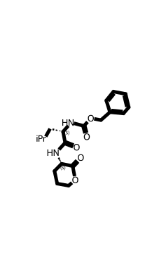 CC(C)C[C@H](NC(=O)OCc1ccccc1)C(=O)N[C@H]1CCCOC1=O